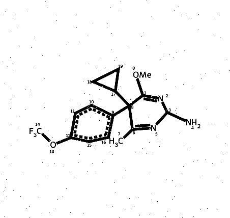 COC1=NC(N)N=C(C)C1(c1ccc(OC(F)(F)F)cc1)C1CC1